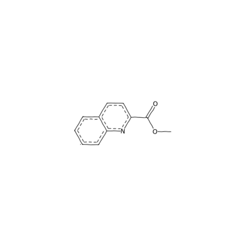 COC(=O)c1ccc2cc[c]cc2n1